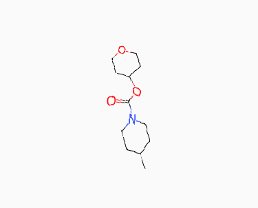 CC1CCN(C(=O)OC2CCOCC2)CC1